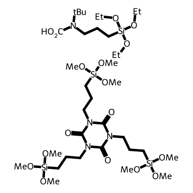 CCO[Si](CCCN(C(=O)O)C(C)(C)C)(OCC)OCC.CO[Si](CCCn1c(=O)n(CCC[Si](OC)(OC)OC)c(=O)n(CCC[Si](OC)(OC)OC)c1=O)(OC)OC